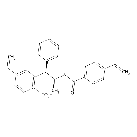 C=Cc1ccc(C(=O)N[C@@H](C)[C@H](c2ccccc2)c2cc(C=C)ccc2C(=O)O)cc1